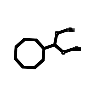 CCCCOC(OCCCC)C1CCCCCCC1